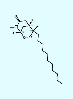 CCCCCCCCCCC[C@]1(C)OO[C@H]2C[C@@H]1CC(=O)[C@H]2C